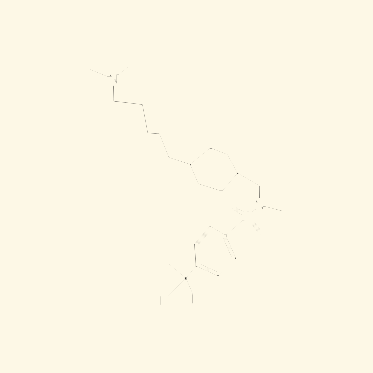 CN(C)CCCCCC1CCC(CN(C)S(=O)(=O)c2ccc(C(F)(F)F)cc2)CC1